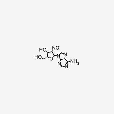 NC1=NC=NC2C1N=CN2C1O[C@H](CO)[C@@H](O)[C@@H]1N=O